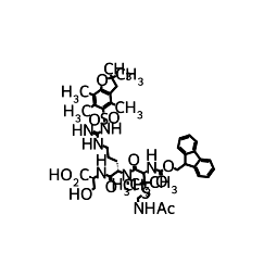 CC(=O)NCSC(C)(C)[C@H](NC(=O)OCC1c2ccccc2-c2ccccc21)C(=O)N(C)[C@@H](CCCNC(=N)NS(=O)(=O)c1c(C)c(C)c2c(c1C)CC(C)(C)O2)C(=O)N[C@@H](CO)C(=O)O